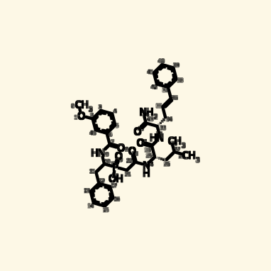 COc1cccc(C(=O)NC(Cc2ccccc2)P(=O)(O)CC(=O)N[C@@H](CC(C)C)C(=O)N[C@@H](C/C=C/c2ccccc2)C(N)=O)c1